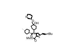 COC(=O)c1sc(C#CC(C)(C)C)cc1N(C(=O)[C@H]1CC[C@H](C)CC1)C1CCC(O)(COc2cccnc2)CC1